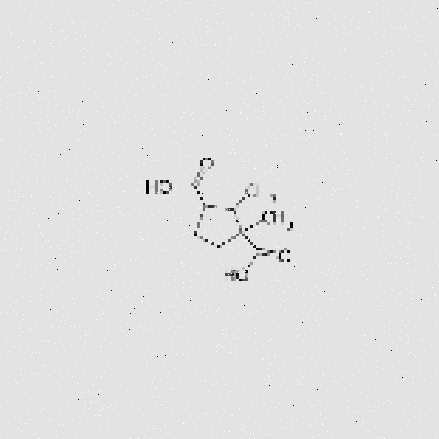 CC1C(C(=O)O)CCC1(C)C(=O)O